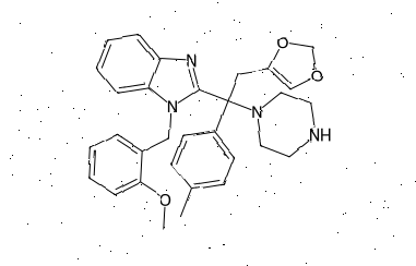 COc1ccccc1Cn1c(C(CC2=COCO2)(c2ccc(C)cc2)N2CCNCC2)nc2ccccc21